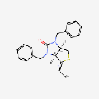 CCC/C=C1\SC[C@H]2[C@@H]1N(Cc1ccccc1)C(=O)N2Cc1ccccc1